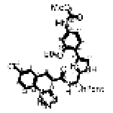 CCCCC[C@H](NC(=O)/C=C/c1cc(Cl)ccc1-n1cnnn1)c1nc(-c2ccc(NC(=O)OC)cc2OCC)c[nH]1